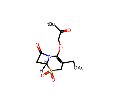 CC(=O)OCC1=C(OCC(=O)C(C)(C)C)N2C(=O)C[C@H]2S(=O)(=O)C1